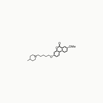 COc1ccc2c(c1)c(=O)oc1cc(OCCCCCN3CCC(C)CC3)ccc12